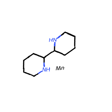 C1CCC(C2CCCCN2)NC1.[Mn]